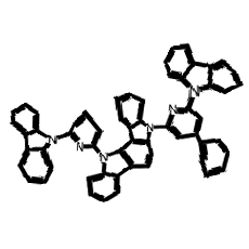 c1ccc(-c2cc(-n3c4ccccc4c4ccccc43)nc(-n3c4ccccc4c4c3ccc3c5ccccc5n(-c5cccc(-n6c7ccccc7c7ccccc76)n5)c34)c2)cc1